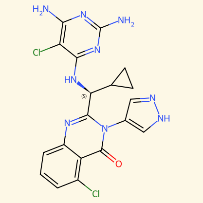 Nc1nc(N)c(Cl)c(N[C@H](c2nc3cccc(Cl)c3c(=O)n2-c2cn[nH]c2)C2CC2)n1